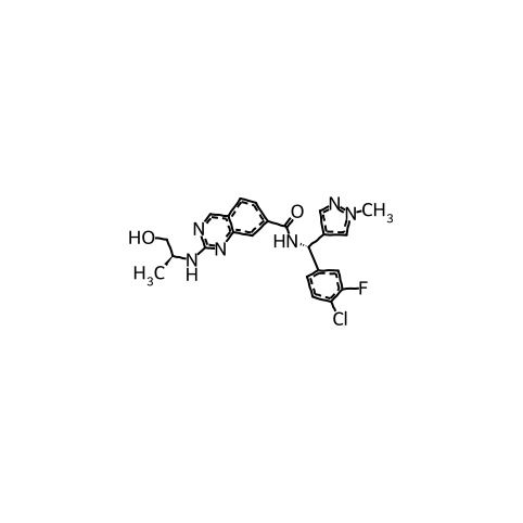 C[C@@H](CO)Nc1ncc2ccc(C(=O)N[C@@H](c3ccc(Cl)c(F)c3)c3cnn(C)c3)cc2n1